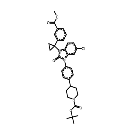 COC(=O)c1cccc(C2(n3c(=O)n(-c4ccc(C5CCN(C(=O)OC(C)(C)C)CC5)cc4)c4cc(Cl)ccc43)CC2)c1